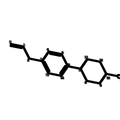 C=CCc1ccc(C2CCC(O)CC2)cc1